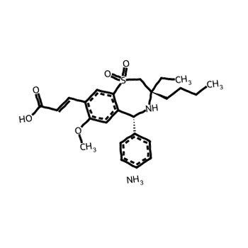 CCCC[C@]1(CC)CS(=O)(=O)c2cc(/C=C/C(=O)O)c(OC)cc2[C@@H](c2ccccc2)N1.N